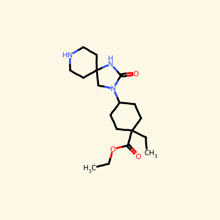 CCOC(=O)C1(CC)CCC(N2CC3(CCNCC3)NC2=O)CC1